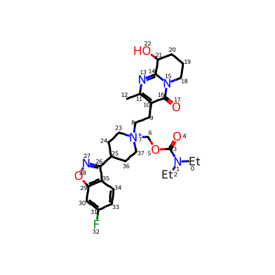 CCN(CC)C(=O)OC[N+]1(CCc2c(C)nc3n(c2=O)CCCC3O)CCC(c2noc3cc(F)ccc23)CC1